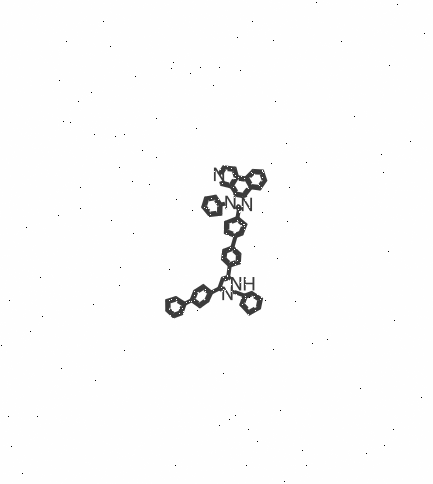 C1=C(c2ccc(-c3ccc(-c4nc5c6ccccc6c6ccncc6c5n4-c4ccccc4)cc3)cc2)NC(c2ccccc2)N=C1c1ccc(-c2ccccc2)cc1